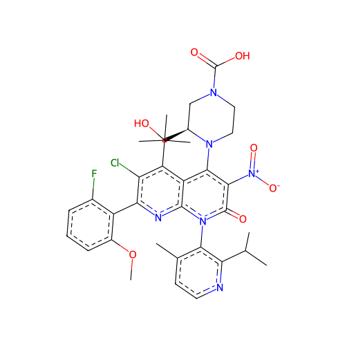 COc1cccc(F)c1-c1nc2c(c(N3CCN(C(=O)O)C[C@@H]3CO)c([N+](=O)[O-])c(=O)n2-c2c(C)ccnc2C(C)C)c(C(C)(C)C)c1Cl